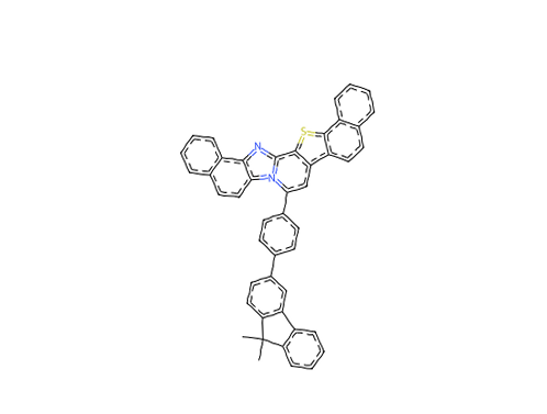 CC1(C)c2ccccc2-c2cc(-c3ccc(-c4cc5c6ccc7ccccc7c6sc5c5nc6c7ccccc7ccc6n45)cc3)ccc21